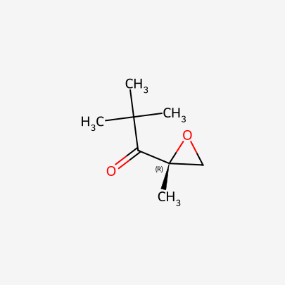 CC(C)(C)C(=O)[C@@]1(C)CO1